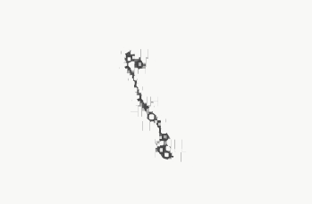 CN1C(=O)C[C@H](C(=O)NCCOCCOCCC(=O)NCC(=O)N[C@H]2CC[C@@H](C(=O)NCCN3CC[C@H](Nc4ncnc5ccc(C(F)(F)F)cc45)C3=O)CC2)[C@H]1c1cccnc1